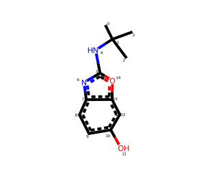 CC(C)(C)Nc1nc2ccc(O)cc2o1